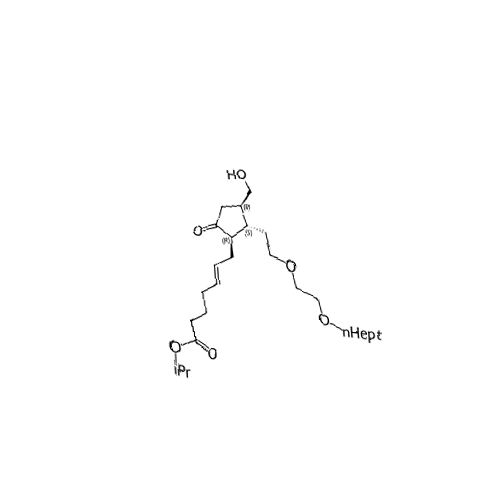 CCCCCCCOCCOCC[C@H]1[C@H](CO)CC(=O)[C@@H]1CC=CCCCC(=O)OC(C)C